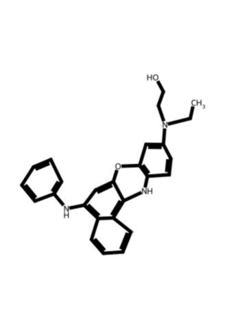 CCN(CCO)c1ccc2c(c1)Oc1cc(Nc3ccccc3)c3ccc[c]c3c1N2